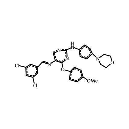 COc1ccc(Oc2nc(Nc3ccc(N4CCOCC4)cc3)ncc2/N=C/c2cc(Cl)cc(Cl)c2)cc1